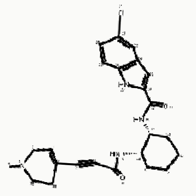 CN1CC=C(C#CC(=O)N[C@H]2CCCC[C@H]2NC(=O)c2cc3cc(Cl)ccc3[nH]2)CC1